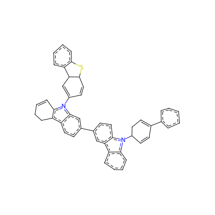 C1=Cc2c(c3ccc(-c4ccc5c(c4)c4ccccc4n5C4C=CC(c5ccccc5)=CC4)cc3n2C2=CC3c4ccccc4SC3C=C2)CC1